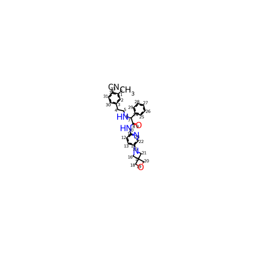 Cc1cc(CCNC(C(=O)Nc2ccc(N3CC4(COC4)C3)cn2)c2ccccc2)ccc1C#N